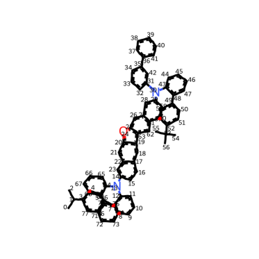 CC(C)c1ccc(-c2ccccc2N(c2ccc3cc4c(cc3c2)oc2cc3cc(N(c5cccc(-c6ccccc6)c5)c5ccccc5-c5ccc(C(C)(C)C)cc5)ccc3cc24)c2ccccc2-c2ccccc2)cc1